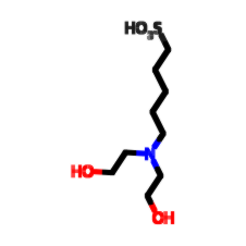 O=S(=O)(O)CCCCCN(CCO)CCO